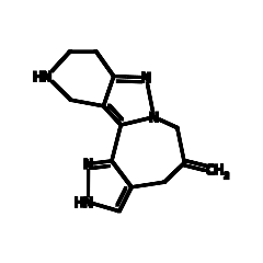 C=C1Cc2c[nH]nc2-c2c3c(nn2C1)CCNC3